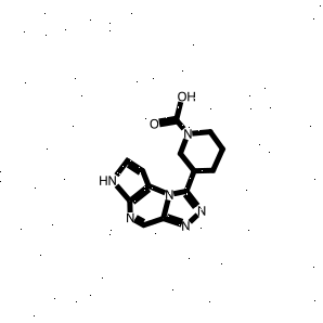 O=C(O)N1CCCC(c2nnc3cnc4[nH]ccc4n23)C1